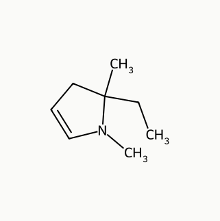 CCC1(C)CC=CN1C